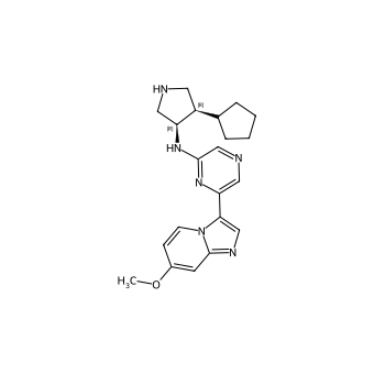 COc1ccn2c(-c3cncc(N[C@H]4CNC[C@H]4C4CCCC4)n3)cnc2c1